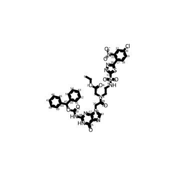 CCOC(=O)CN(CCNS(=O)(=O)c1nnc(-c2ccc(Cl)cc2[N+](=O)[O-])s1)C(=O)Cn1cnc2c(=O)[nH]c(NC(=O)OC(c3ccccc3)c3ccccc3)nc21